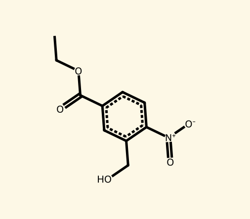 CCOC(=O)c1ccc([N+](=O)[O-])c(CO)c1